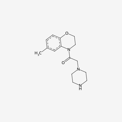 Cc1ccc2c(c1)N(C(=O)CN1CCNCC1)CCO2